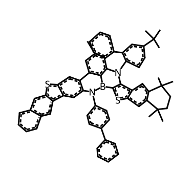 Cc1cc2c3c(c1)N(c1ccc(C(C)(C)C)cc1-c1ccccc1)c1c(sc4cc5c(cc14)C(C)(C)CCC5(C)C)B3N(c1ccc(-c3ccccc3)cc1)c1cc3c(cc1-2)sc1cc2ccccc2cc13